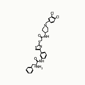 N[C@@H](Cc1ccccc1)C(=O)Nc1cccc(-c2csc(SCC(=O)NC3CCN(Cc4ccc(Cl)c(Cl)c4)CC3)n2)c1